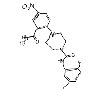 O=C(NO)c1cc([N+](=O)[O-])ccc1N1CCN(C(=O)Nc2cc(F)ccc2F)CC1